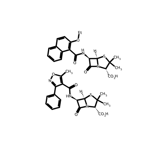 CCOc1ccc2ccccc2c1C(=O)N[C@@H]1C(=O)N2[C@@H]1SC(C)(C)[C@@H]2C(=O)O.Cc1onc(-c2ccccc2)c1C(=O)N[C@@H]1C(=O)N2[C@@H]1SC(C)(C)[C@@H]2C(=O)O